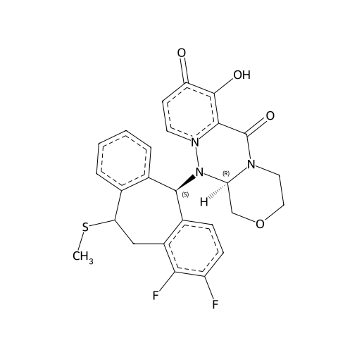 CSC1Cc2c(ccc(F)c2F)[C@H](N2[C@@H]3COCCN3C(=O)c3c(O)c(=O)ccn32)c2ccccc21